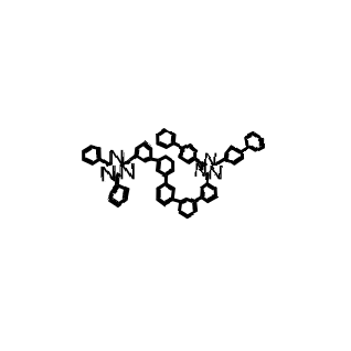 C1=C(c2cccc(-c3cccc(-c4cccc(-c5nc(-c6ccc(-c7ccccc7)cc6)nc(-c6ccc(-c7ccccc7)cc6)n5)c4)c3)c2)C=C(c2cccc(-c3nc(-c4ccccc4)nc(-c4ccccc4)n3)c2)CC1